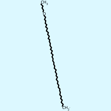 [CH2]CCCCCCCCCCCCCCCCCCCCCCCCCCCCCCCCCCCCCCCCCCCCCCCCCOCCCCCC